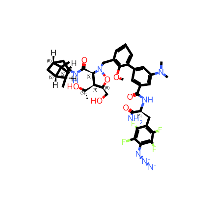 COc1c(CN2O[C@@H](CO)[C@@H]([C@H](C)O)[C@H]2C(=O)N[C@H]2C[C@H]3C[C@@H]([C@@H]2C)C3(C)C)cccc1-c1cc(C(=O)N[C@@H](Cc2c(F)c(F)c(N=[N+]=[N-])c(F)c2F)C(N)=O)cc(N(C)C)c1